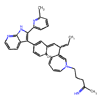 C=c1ccc(-c2c(-c3cccc(C)n3)[nH]c3ncccc23)c/c1=C/C(=C\C)C1=CN(CCCC(C)=N)C=CC=C1